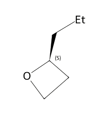 CCC[C@H]1CCO1